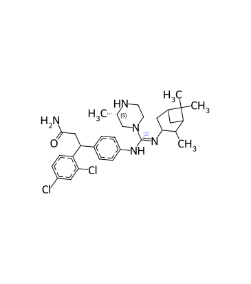 CC1C(/N=C(/Nc2ccc(C(CC(N)=O)c3ccc(Cl)cc3Cl)cc2)N2CCN[C@@H](C)C2)CC2CC1C2(C)C